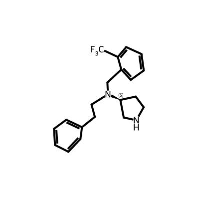 FC(F)(F)c1ccccc1CN(CCc1ccccc1)[C@H]1CCNC1